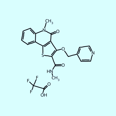 CNC(=O)c1sc2c(c1OCc1ccncc1)c(=O)n(C)c1ccccc21.O=C(O)C(F)(F)F